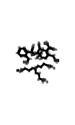 CCCCN(CCCC)CCCC.O=C(O)C1=C(CO)CS[C@@H]2C(NC(=O)c3ccccc3CO)C(=O)N12